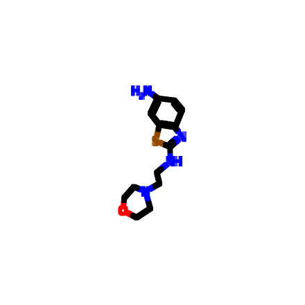 Nc1ccc2nc(NCCN3CCOCC3)sc2c1